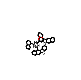 c1ccc(-c2nc(-c3cccc4ccccc34)nc(-c3c4ccccc4cc4sc5ccc(-n6c7cc8ccccc8cc7c7c8ccccc8ccc76)cc5c34)n2)cc1